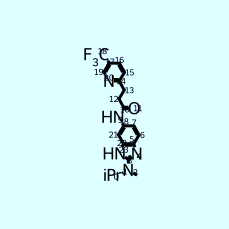 CC(C)N(C)c1nc2ccc(NC(=O)CCc3ccc(C(F)(F)F)cn3)cc2[nH]1